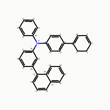 C1=CCCC(c2ccc(N(c3ccccc3)c3cccc(-c4cccc5ccccc45)c3)cc2)=C1